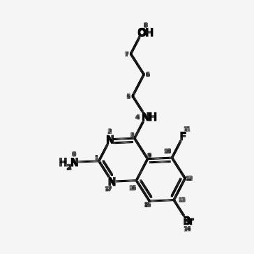 Nc1nc(NCCCO)c2c(F)cc(Br)cc2n1